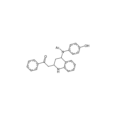 CC(=O)N(c1ccc(O)cc1)C1CC(CC(=O)c2ccccc2)Nc2ccccc21